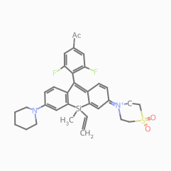 C=C[Si]1(C)C2=CC(=[N+]3CCS(=O)(=O)CC3)C=CC2=C(c2c(F)cc(C(C)=O)cc2F)c2ccc(N3CCCCC3)cc21